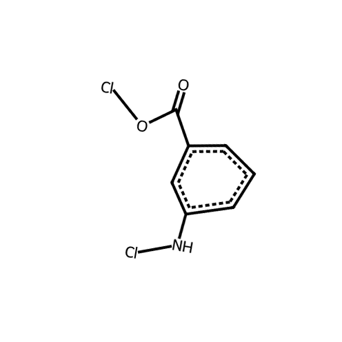 O=C(OCl)c1cccc(NCl)c1